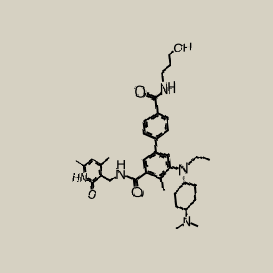 CCN(c1cc(-c2ccc(C(=O)NCCCO)cc2)cc(C(=O)NCc2c(C)cc(C)[nH]c2=O)c1C)[C@H]1CC[C@H](N(C)C)CC1